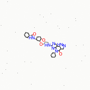 O=C(Nc1ccc2c(c1)OCC(CNc1ncc3c4[nH]ncc4c(=O)n(-c4ccccc4)c3n1)O2)c1ccccc1